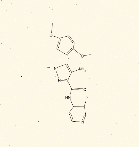 COc1ccc(OC)c(-c2c(N)c(C(=O)Nc3ccncc3F)nn2C)c1